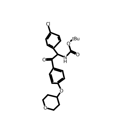 CC(C)(C)OC(=O)NC(C(=O)c1ccc(OC2CCOCC2)cc1)c1ccc(Cl)cc1